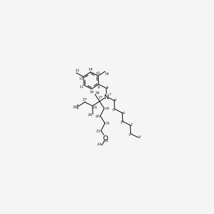 CCCCCCCN(Cc1ccc(C)cc1C)C(C)(CCCCOC)C(C)CI